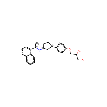 C[C@@H](N[C@H]1CC[C@@H](c2ccc(OCC(O)CO)cc2)C1)c1cccc2ccccc12